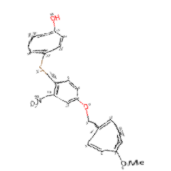 COc1ccc(COc2ccc(Sc3ccc(O)cc3)c([N+](=O)[O-])c2)cc1